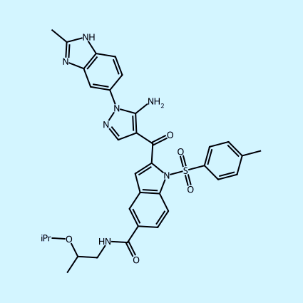 Cc1ccc(S(=O)(=O)n2c(C(=O)c3cnn(-c4ccc5[nH]c(C)nc5c4)c3N)cc3cc(C(=O)NCC(C)OC(C)C)ccc32)cc1